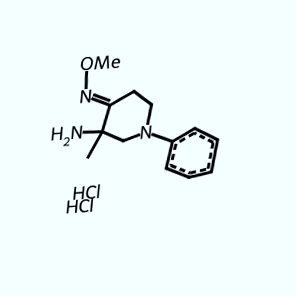 CON=C1CCN(c2ccccc2)CC1(C)N.Cl.Cl